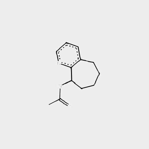 CC(=O)NC1CCCCc2cccnc21